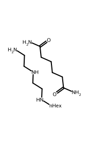 CCCCCCNCCNCCN.NC(=O)CCCCC(N)=O